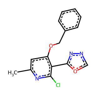 Cc1cc(OCc2ccccc2)c(-c2nnco2)c(Cl)n1